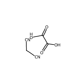 N#CCC#N.O=C(O)C(=O)O